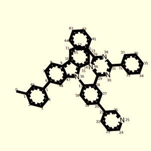 Cc1cccc(-c2ccc3c4ccccc4n(-c4ccc(-c5cccnc5)cc4-c4nc(-c5ccccc5)nc(-c5ccccc5)n4)c3c2)c1